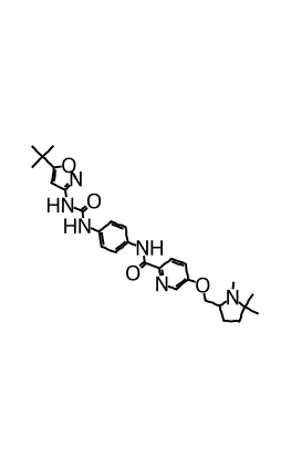 CN1C(COc2ccc(C(=O)Nc3ccc(NC(=O)Nc4cc(C(C)(C)C)on4)cc3)nc2)CCC1(C)C